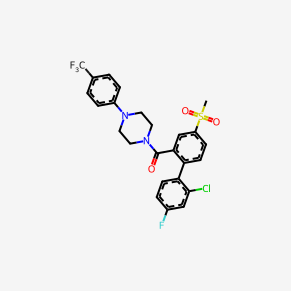 CS(=O)(=O)c1ccc(-c2ccc(F)cc2Cl)c(C(=O)N2CCN(c3ccc(C(F)(F)F)cc3)CC2)c1